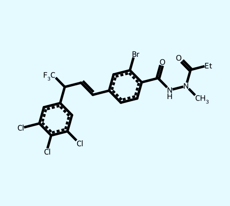 CCC(=O)N(C)NC(=O)c1ccc(C=CC(c2cc(Cl)c(Cl)c(Cl)c2)C(F)(F)F)cc1Br